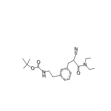 CCN(CC)C(=O)C(C#N)Cc1cccc(CCNC(=O)OC(C)(C)C)c1